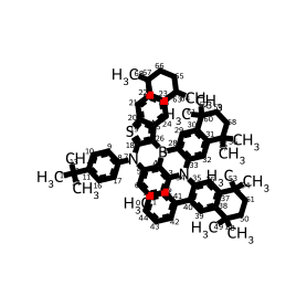 Cc1cc2c3c(c1)N(c1ccc(C(C)(C)C)cc1)c1sc4cc5c(cc4c1B3c1cc3c(cc1N2c1cc2c(cc1-c1ccccc1)C(C)(C)CCC2(C)C)C(C)(C)CCC3(C)C)C1(C)CCC5(C)CC1